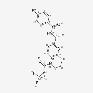 C[C@@H](NC(=O)c1ccc(F)cc1)c1ccc2c(n1)CCCN2C(=O)[C@@H]1CC1(F)F